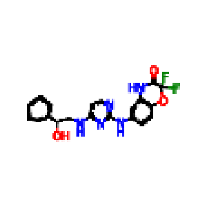 O=C1Nc2cc(Nc3nccc(NCC(O)c4ccccc4)n3)ccc2OC1(F)F